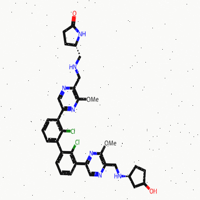 COc1nc(-c2cccc(-c3cccc(-c4cnc(CN[C@H]5CCC(O)C5)c(OC)n4)c3Cl)c2Cl)cnc1CNC[C@@H]1CCC(=O)N1